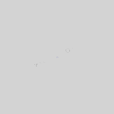 CCc1ccc([C@H]2CC[C@H](/C=C/[C@H]3CC[C@H](CCC=CC=CC#N)CC3)CC2)cc1